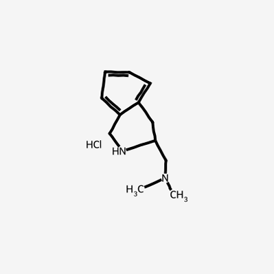 CN(C)CC1Cc2ccccc2CN1.Cl